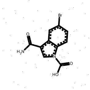 NC(=O)c1cn(C(=O)O)c2ccc(Br)cc12